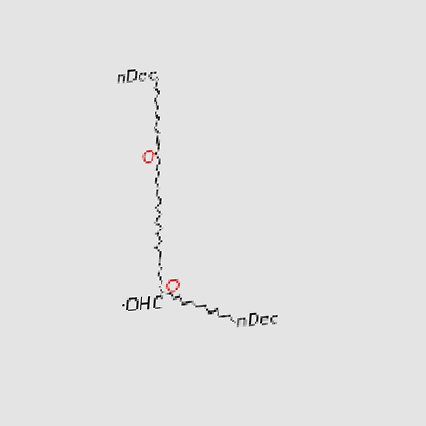 CCCCCCCCCCCC=CC=CC=CC=CC=CC(=O)CCCCCCCCCCCCCCCCCCCCC([C]=O)C(=O)C=CC=CC=CC=CCCCCCCCCCCCCC